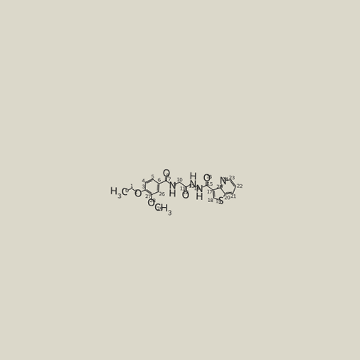 CCOc1ccc(C(=O)NCC(=O)NNC(=O)c2csc3cccnc23)cc1OC